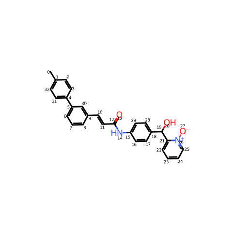 Cc1ccc(-c2cccc(C=CC(=O)Nc3ccc(C(O)c4cccc[n+]4[O-])cc3)c2)cc1